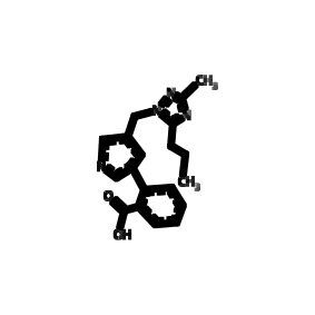 CCCc1nc(C)nn1Cc1cncc(-c2ccccc2C(=O)O)c1